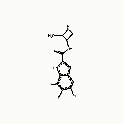 CC1NCC1NC(=O)c1cc2cc(Cl)c(F)c(F)c2[nH]1